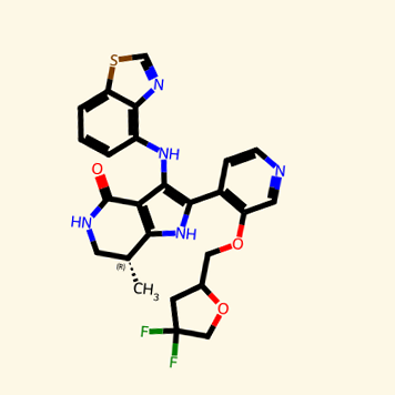 C[C@@H]1CNC(=O)c2c1[nH]c(-c1ccncc1OCC1CC(F)(F)CO1)c2Nc1cccc2scnc12